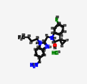 Cl.NCc1ccc2c(c1)nc(CN1C(=O)C3(CC3)c3ccc(F)cc31)n2CCCC(F)(F)F